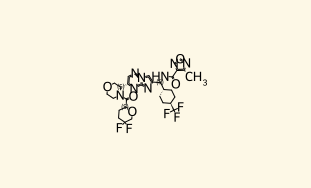 Cc1nonc1C(=O)N[C@H](c1cn2ncc([C@H]3COCCN3C(=O)[C@@H]3CCC(F)(F)CO3)nc2n1)[C@H]1CC[C@H](C(F)(F)F)CC1